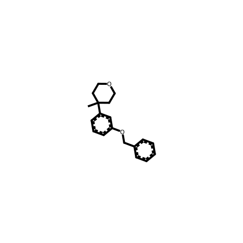 CC1(c2cccc(OCc3ccccc3)c2)CCOCC1